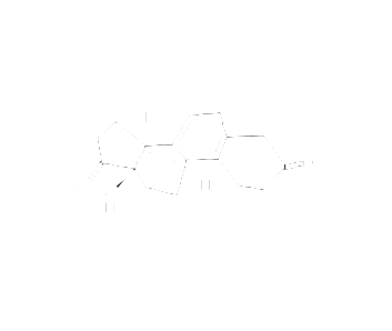 C[C@]12CC[C@H]3C(=CCC4=C3CCC(=O)C4)[C@@H]1CCC2=O